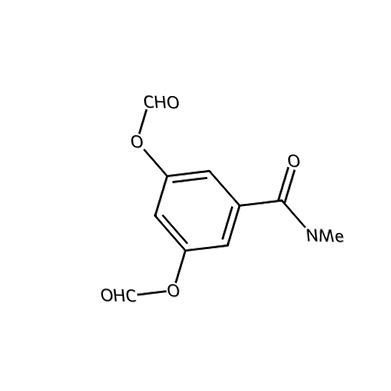 CNC(=O)c1cc(OC=O)cc(OC=O)c1